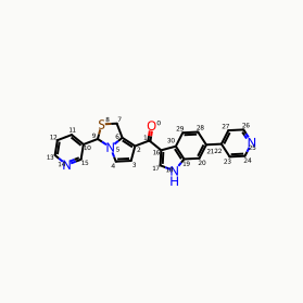 O=C(c1ccn2c1CSC2c1cccnc1)c1c[nH]c2cc(-c3ccncc3)ccc12